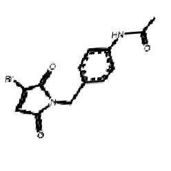 CC(=O)Nc1ccc(CN2C(=O)C=C(Br)C2=O)cc1